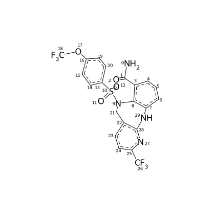 NC(=O)c1cccc2c1N(S(=O)(=O)c1ccc(OC(F)(F)F)cc1)Cc1ccc(C(F)(F)F)nc1N2